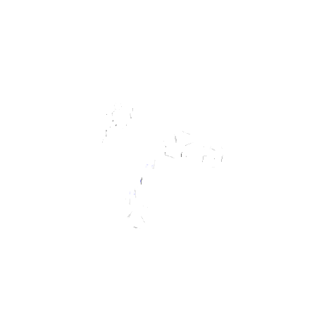 CC1(CCCCCC(=O)ON2C(=O)CCC2=O)C(/C=C/C=C/C=C2/N3CCCc4cccc(c43)C2(C)C)=CN2CCc3cccc1c32.O=C(O)C(F)(F)F